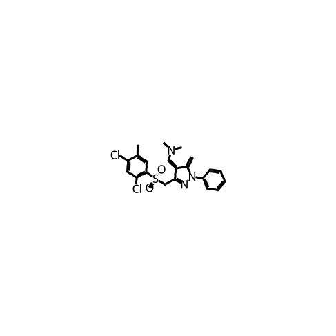 C=c1c(=CN(C)C)c(CS(=O)(=O)c2cc(C)c(Cl)cc2Cl)nn1-c1ccccc1